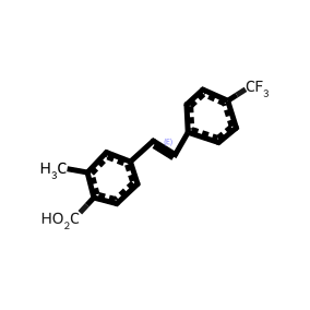 Cc1cc(/C=C/c2ccc(C(F)(F)F)cc2)ccc1C(=O)O